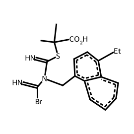 CCc1ccc(CN(C(=N)Br)C(=N)SC(C)(C)C(=O)O)c2ccccc12